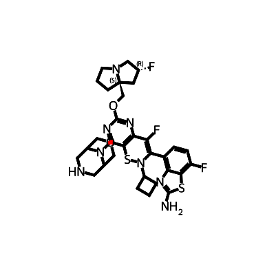 Nc1nc2c(C3=C(F)c4nc(OC[C@@]56CCCN5C[C@H](F)C6)nc(N5C6CNCC5COC6)c4SN3C3CCC3)ccc(F)c2s1